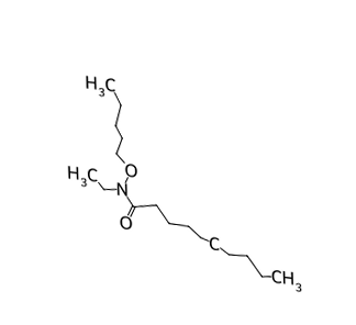 CCCCCCCCCC(=O)N(CC)OCCCCC